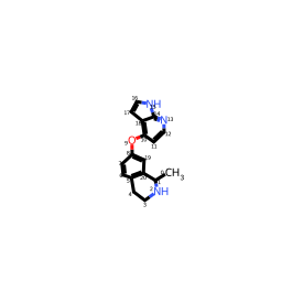 CC1NCCc2ccc(Oc3ccnc4[nH]ccc34)cc21